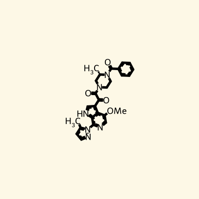 COc1cnc(-n2nccc2C)c2[nH]cc(C(=O)C(=O)N3CCN(C(=O)c4ccccc4)[C@H](C)C3)c12